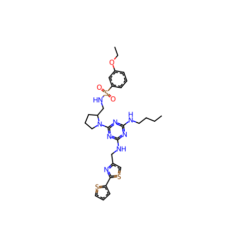 CCCCNc1nc(NCc2csc(-c3cccs3)n2)nc(N2CCCC2CNS(=O)(=O)c2cccc(OCC)c2)n1